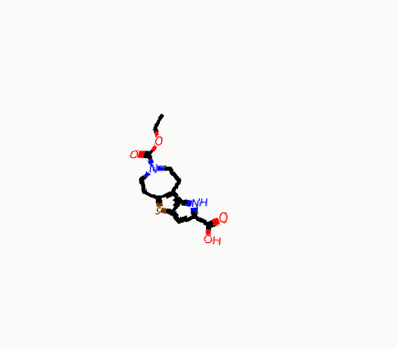 CCOC(=O)N1CCc2sc3cc(C(=O)O)[nH]c3c2CC1